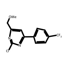 COCc1cc(-c2ccc(C(F)(F)F)cc2)nc(Cl)n1